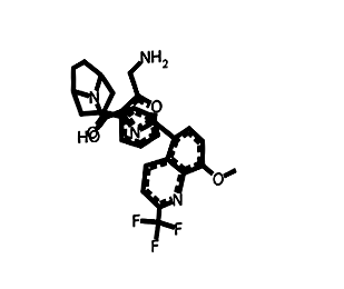 COc1ccc(-c2nc(C(=O)N3C4CCC3CC(O)(c3ccccc3)C4)c(CN)o2)c2ccc(C(F)(F)F)nc12